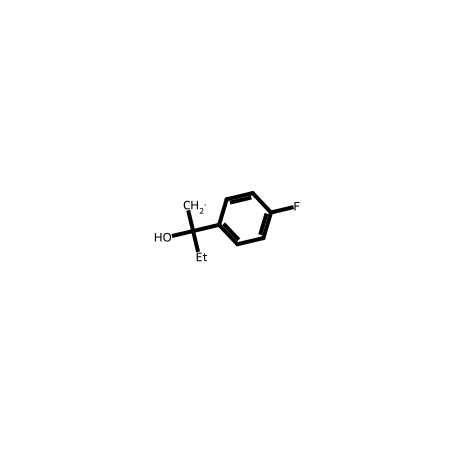 [CH2]C(O)(CC)c1ccc(F)cc1